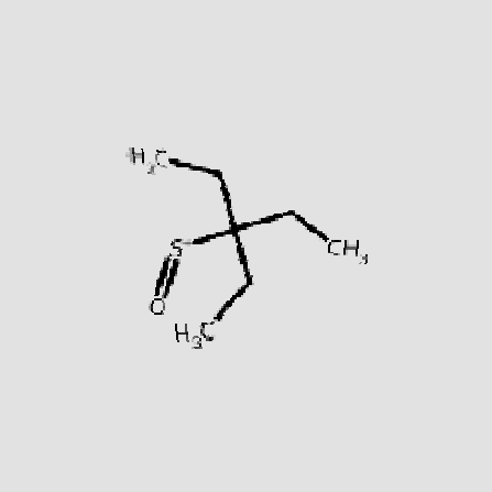 [CH2]CC(CC)(CC)[S+]=O